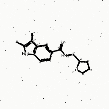 Cc1[nH]c2ccc(C(=O)NCC3CCCO3)cc2c1C